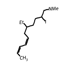 C/C=C\C=C/CC(CC)CCC(I)CNC